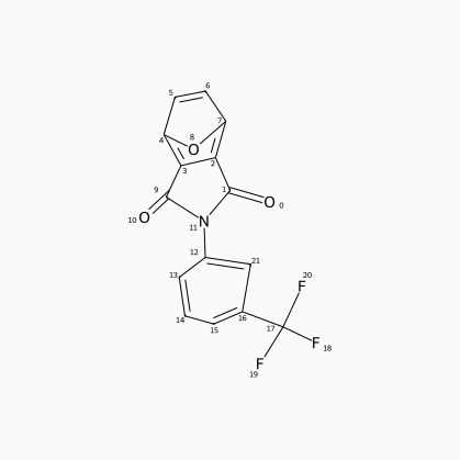 O=C1c2c(c3ccc2o3)C(=O)N1c1cccc(C(F)(F)F)c1